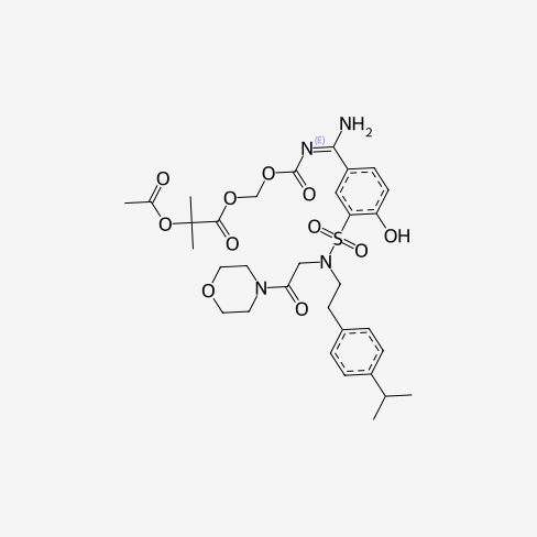 CC(=O)OC(C)(C)C(=O)OCOC(=O)/N=C(/N)c1ccc(O)c(S(=O)(=O)N(CCc2ccc(C(C)C)cc2)CC(=O)N2CCOCC2)c1